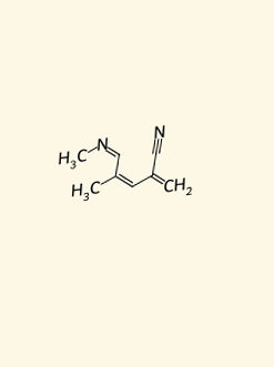 C=C(C#N)/C=C(C)\C=N/C